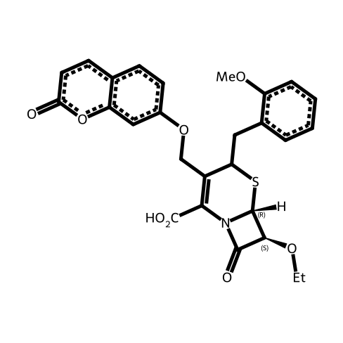 CCO[C@H]1C(=O)N2C(C(=O)O)=C(COc3ccc4ccc(=O)oc4c3)C(Cc3ccccc3OC)S[C@H]12